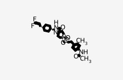 CC(=O)Nc1ccc(CCS(=O)(=O)N2CCC3(CC2)N=C([C@H]2CC[C@@H](CC=C(F)F)CC2)NC3=O)c(C)c1